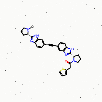 CC(=O)N1CCC[C@H]1c1nc2ccc(C#Cc3ccc4[nH]c([C@@H]5CCCN5C(=O)Cc5cccs5)nc4c3)cc2[nH]1